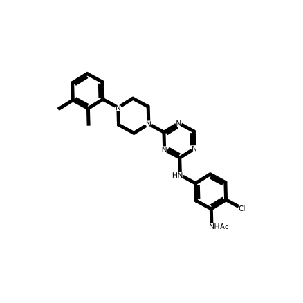 CC(=O)Nc1cc(Nc2ncnc(N3CCN(c4cccc(C)c4C)CC3)n2)ccc1Cl